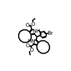 CCOC(=O)c1[nH]c(C(c2ccc(Br)cc2C)c2[nH]c(C(=O)OCC)c3c2CCCCCCCCCC3)c2c1CCCCCCCCCC2